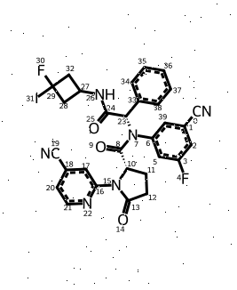 N#Cc1cc(F)cc(N(C(=O)[C@@H]2CCC(=O)N2c2cc(C#N)ccn2)[C@H](C(=O)NC2CC(F)(I)C2)c2ccccc2)c1